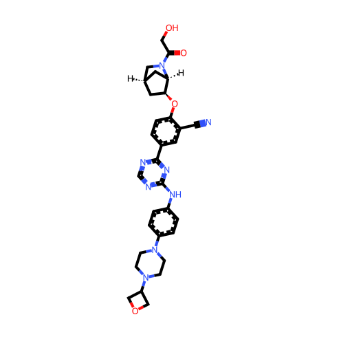 N#Cc1cc(-c2ncnc(Nc3ccc(N4CCN(C5COC5)CC4)cc3)n2)ccc1O[C@H]1C[C@@H]2C[C@H]1N(C(=O)CO)C2